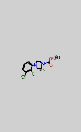 C[C@@H]1CN(c2cccc(Cl)c2Cl)CCN1C(=O)OC(C)(C)C